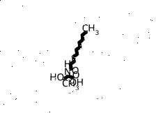 CCCCCCCCCCCC(=O)NC(C(=O)O)C(C)O